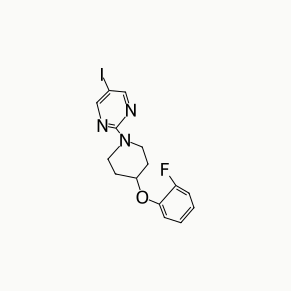 Fc1ccccc1OC1CCN(c2ncc(I)cn2)CC1